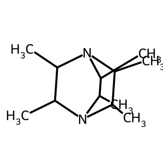 CC1C(C)N2C(C)C(C)N1C(C)C2C